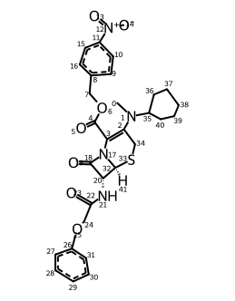 CN(C1=C(C(=O)OCc2ccc([N+](=O)[O-])cc2)N2C(=O)[C@@H](NC(=O)COc3ccccc3)[C@@H]2SC1)C1CCCCC1